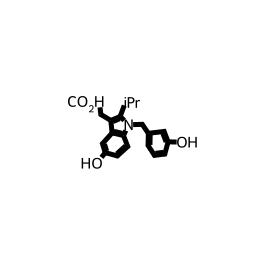 CC(C)c1c(CC(=O)O)c2cc(O)ccc2n1Cc1cccc(O)c1